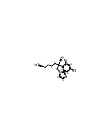 C#CCCCCC(C#N)(Cn1ccnc1)c1ccc(Cl)cc1Cl